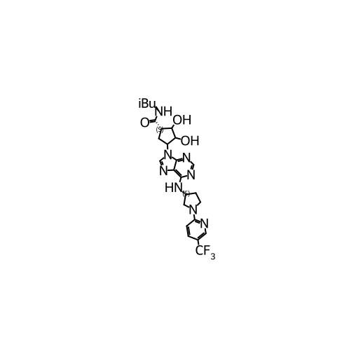 CCC(C)NC(=O)[C@H]1CC(n2cnc3c(N[C@H]4CCN(c5ccc(C(F)(F)F)cn5)C4)ncnc32)C(O)C1O